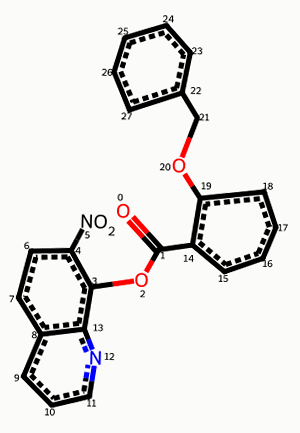 O=C(Oc1c([N+](=O)[O-])ccc2cccnc12)c1ccccc1OCc1ccccc1